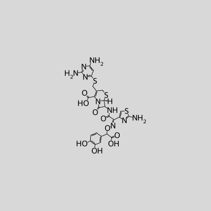 Nc1cc(SCC2=C(C(=O)O)N3C(=O)C(NC(=O)/C(=N\OC(C(=O)O)c4ccc(O)c(O)c4)c4csc(N)n4)[C@H]3SC2)nc(N)n1